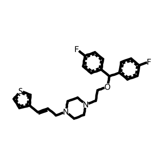 Fc1ccc(C(OCCN2CCN(C/C=C/c3ccsc3)CC2)c2ccc(F)cc2)cc1